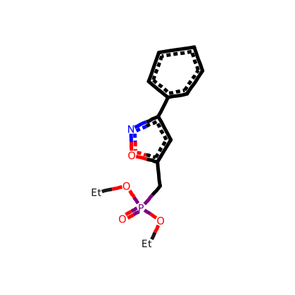 CCOP(=O)(Cc1cc(-c2ccccc2)no1)OCC